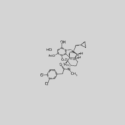 CC(=O)Oc1cc(O)c2c3c1O[C@H]1[C@@H](N(C)C(=O)Cc4ccc(Cl)c(Cl)c4)CC[C@H]4[C@@H](C2)N(CC2CC2)CC[C@@]341.Cl